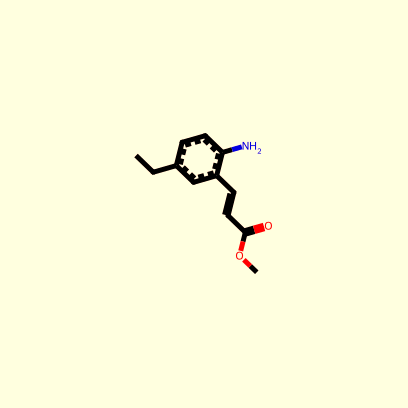 CCc1ccc(N)c(C=CC(=O)OC)c1